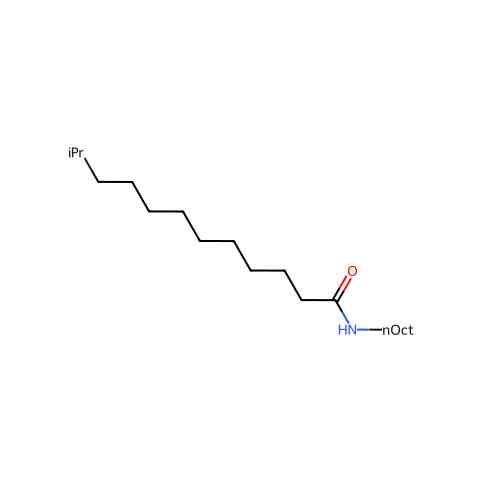 CCCCCCCCNC(=O)CCCCCCCCCC(C)C